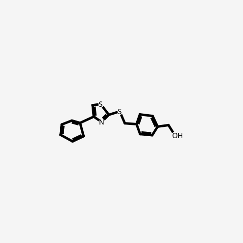 OCc1ccc(CSc2nc(-c3ccccc3)cs2)cc1